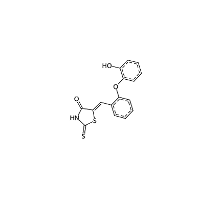 O=C1NC(=S)S/C1=C\c1ccccc1Oc1ccccc1O